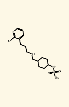 CC(C)(C)S(=O)(=O)NC1CCC(CNCCCc2cccnc2Cl)CC1